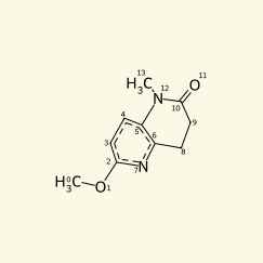 COc1ccc2c(n1)CCC(=O)N2C